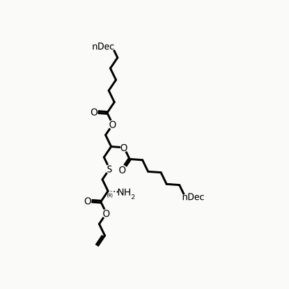 C=CCOC(=O)[C@@H](N)CSCC(COC(=O)CCCCCCCCCCCCCCC)OC(=O)CCCCCCCCCCCCCCC